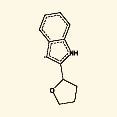 [c]1c(C2CCCO2)[nH]c2ccccc12